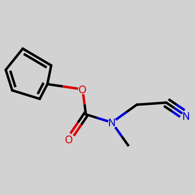 CN(CC#N)C(=O)Oc1ccccc1